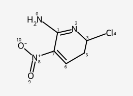 NC1=NC(Cl)CC=C1[N+](=O)[O-]